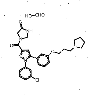 O=C1CN(C(=O)c2cc(-c3cccc(OCCCN4CCCC4)c3)n(-c3cccc(Cl)c3)n2)CN1.O=CO